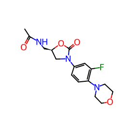 CC(=O)NC[C@@H]1CN(c2ccc(N3CCOCC3)c(F)c2)C(=O)O1